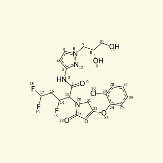 O=C(Nc1ccn(C[C@@H](O)CO)n1)C(C(F)CC(F)F)N1CC(Oc2ccccc2Cl)=CC1=O